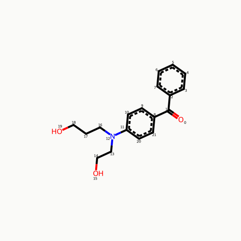 O=C(c1ccccc1)c1ccc(N(CCO)CCCO)cc1